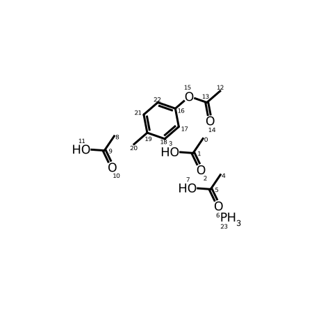 CC(=O)O.CC(=O)O.CC(=O)O.CC(=O)Oc1ccc(C)cc1.P